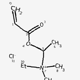 C=CC(=O)OC(C)[N+](C)(C)CC.[Cl-]